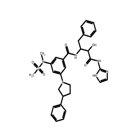 CN(c1cc(C(=O)NC(Cc2ccccc2)C(O)C(=O)Nc2ncc[nH]2)cc(N2CCC(c3ccccc3)C2)c1)S(C)(=O)=O